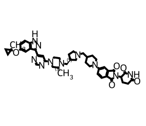 C[C@H]1CN(c2cc(-c3n[nH]c4ccc(OC5(C)CC5)cc34)ncn2)CCN1C[C@H]1CCN(CC2CCN(c3ccc4c(c3)C(=O)N(C3CCC(=O)NC3=O)C4=O)CC2)C1